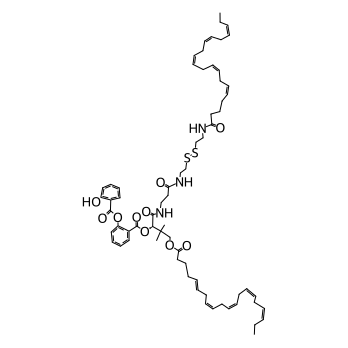 CC/C=C\C/C=C\C/C=C\C/C=C\C/C=C\CCCC(=O)NCCSSCCNC(=O)CCNC(=O)[C@H](OC(=O)c1ccccc1OC(=O)c1ccccc1O)C(C)(C)COC(=O)CCC/C=C/C/C=C\C/C=C\C/C=C\C/C=C\CC